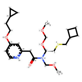 COCO[C@H](CSCC1CCC1)N(COC)C(=O)Cc1cc(OCCC2CC2)ccn1